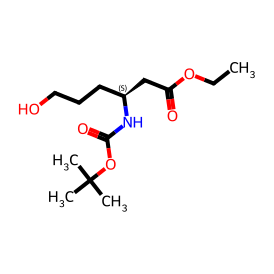 CCOC(=O)C[C@H](CCCO)NC(=O)OC(C)(C)C